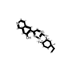 CC[C@@]1(C)CC[C@@H](F)[C@@H](Oc2ncc(-c3cc4ccncc4cc3O)nn2)C1